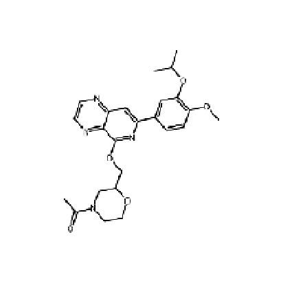 COc1ccc(-c2cc3nccnc3c(OCC3CN(C(C)=O)CCO3)n2)cc1OC(C)C